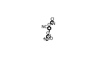 CN1CCn2c1cc(OCc1ccc(Oc3cncc(Cl)c3)c(C#N)c1)nc2=O